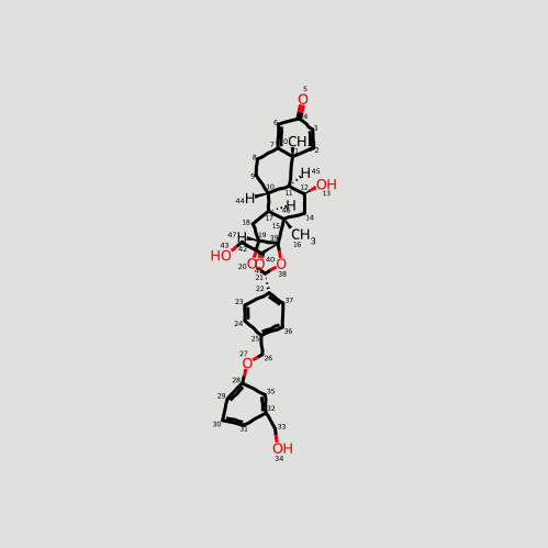 C[C@]12C=CC(=O)C=C1CC[C@@H]1[C@@H]2[C@@H](O)C[C@@]2(C)[C@H]1C[C@H]1O[C@@H](c3ccc(COc4cccc(CO)c4)cc3)O[C@]12C(=O)CO